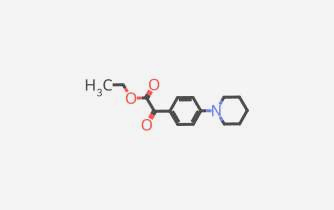 CCOC(=O)C(=O)c1ccc(N2CCCCC2)cc1